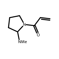 C=CC(=O)N1CCCC1NC